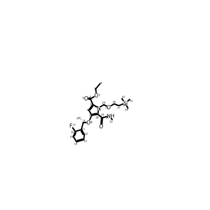 CCOC(=O)c1cc(O[C@@H](C)c2ccccc2F)c(C(=O)NC)n1COCC[Si](C)(C)C